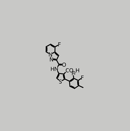 Cc1ccc(-c2scc(NC(=O)c3cc4c(F)cccn4n3)c2C(=O)O)c(F)c1F